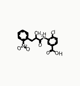 CC(Cc1ccccc1[N+](=O)[O-])C(=O)Nc1cc(C(=O)O)ccc1Cl